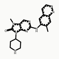 Cc1cc2nnccc2cc1Nc1ncc2c(n1)n(C1CCNCC1)c(=O)n2C